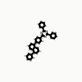 c1ccc(-c2nc(-c3ccccc3)nc(-c3ccc(-c4cccc5c(-c6ccccc6)cccc45)cc3)n2)cc1